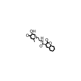 Cc1cc(=O)c(O)cn1CCNC(=O)c1cc2ccccc2oc1=O